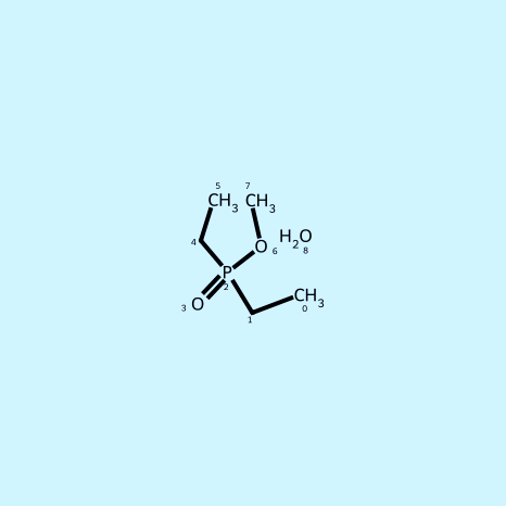 CCP(=O)(CC)OC.O